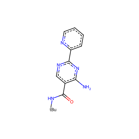 CC(C)(C)NC(=O)c1cnc(-c2ccccn2)nc1N